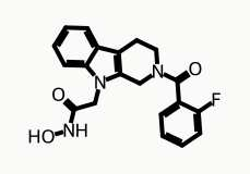 O=C(Cn1c2c(c3ccccc31)CCN(C(=O)c1ccccc1F)C2)NO